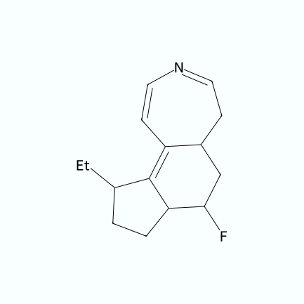 CCC1CCC2C1=C1C=CN=CCC1CC2F